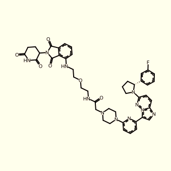 O=C(CN1CCN(c2cccc(-c3cnc4ccc(N5CCC[C@@H]5c5cccc(F)c5)nn34)n2)CC1)NCCOCCNc1cccc2c1C(=O)N(C1CCC(=O)NC1=O)C2=O